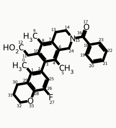 Cc1c(-c2c(C)c3c(c(C)c2CC(=O)O)CCN(C(=O)c2ccccc2)C3)cc(F)c2c1CCCO2